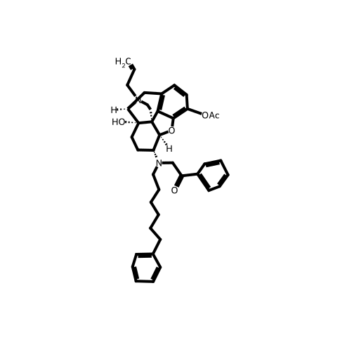 C=CCN1CC[C@]23c4c5ccc(OC(C)=O)c4O[C@H]2[C@H](N(CCCCCCc2ccccc2)CC(=O)c2ccccc2)CC[C@@]3(O)[C@H]1C5